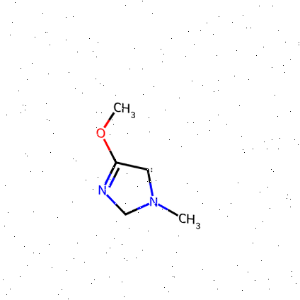 COC1=NCN(C)[C]1